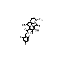 C[C@H]1C=CC[C@]23C[C@H](O)c4c(C(=O)NCc5c(F)cc(F)cc5F)c(=O)c(O)c(n42)C(=O)N1C3